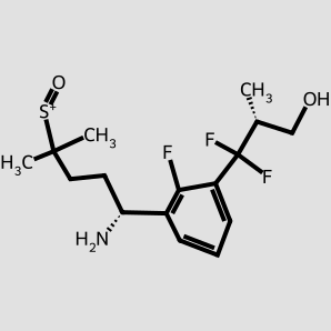 C[C@H](CO)C(F)(F)c1cccc([C@H](N)CCC(C)(C)[S+]=O)c1F